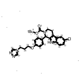 CC(C)(C)OC(=O)N1CCc2c([nH]c3ccc(Cl)cc23)C1c1ccc(OCCCn2cnnc2)cc1